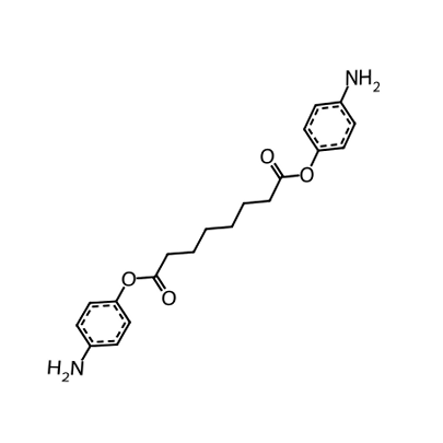 Nc1ccc(OC(=O)CCCCCCC(=O)Oc2ccc(N)cc2)cc1